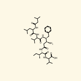 CC[C@H](C)[C@H](NC(=O)C[C@H](N)[C@H](Cc1ccccc1)NC(=O)C(NC(=O)C(CC(C)C)NC(=O)CC(C)C)C(C)C)C(=O)NC(C(=O)O)C(C)C